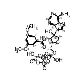 COc1cc(OC)cc(C(=O)NC2[C@@H](COP(=O)(O)OP(=O)(O)OP(=O)(O)O)OCC2(O)n2cnc3c(N)ncnc32)c1